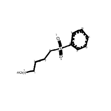 CCCCCCCCCCCCS(=O)(=O)c1c[c]ccc1